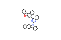 c1ccc2cc3c(cc2c1)c1ccccc1n3-c1nc(-c2cc3oc4ccccc4c3c3ccccc23)c2ccccc2n1